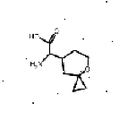 NC(C(=O)O)C1CCOC2(CC2)C1